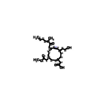 COC(=O)CN1CCN(CC(=O)N(C)CCSC)/C=C\N(CCO)CCN(CC(=O)O)CC1